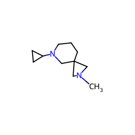 CN1CC2(CCCN(C3CC3)C2)C1